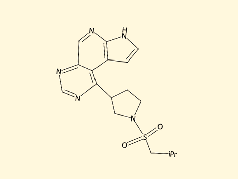 CC(C)CS(=O)(=O)N1CCC(c2ncnc3cnc4[nH]ccc4c23)C1